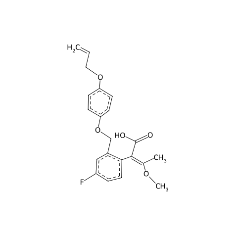 C=CCOc1ccc(OCc2cc(F)ccc2C(C(=O)O)=C(C)OC)cc1